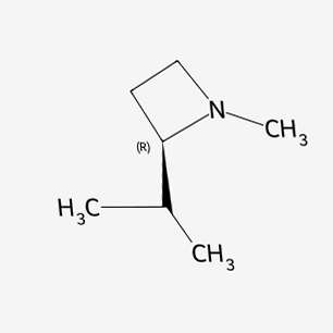 CC(C)[C@H]1CCN1C